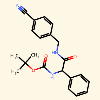 CC(C)(C)OC(=O)NC(C(=O)NCc1ccc(C#N)cc1)c1ccccc1